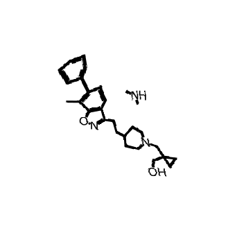 CNC.Cc1c(-c2ccccc2)ccc2c(CCC3CCN(CC4(CO)CC4)CC3)noc12